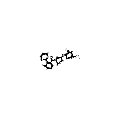 O=C(c1cccc(F)c1-c1ncccn1)N1CCCC(Oc2ncc(C(F)(F)F)cc2F)C1